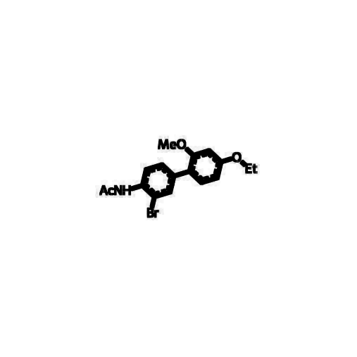 CCOc1ccc(-c2ccc(NC(C)=O)c(Br)c2)c(OC)c1